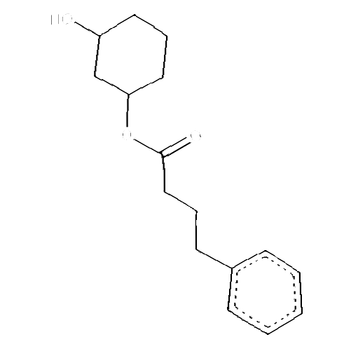 O=C(CCCc1ccccc1)OC1CCCC(O)C1